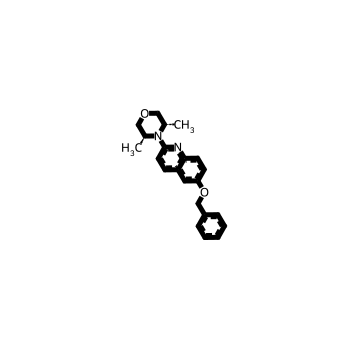 C[C@@H]1COC[C@H](C)N1c1ccc2cc(OCc3ccccc3)ccc2n1